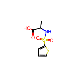 CC(NS(=O)(=O)c1cccs1)C(=O)O